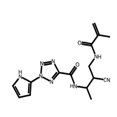 C=C(C)C(=O)NCC(C#N)C(C)NC(=O)c1nnn(-c2ccc[nH]2)n1